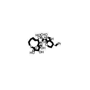 CC(C)C[C@@H]1CCO[C@@H]2[C@H](CN[C@@H]2C(=O)N[C@H]2[C@H]3O[C@H](SCCC/C=C/[C@@H]2C)[C@H](O)[C@@H](O)[C@H]3O)C1.O=CO